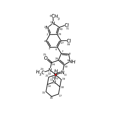 Cn1nc2ccc(-c3c[nH]c4nc(N5C6CCCC5CNC6)n(C)c(=O)c34)c(Cl)c2c1Cl